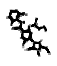 CCC[C@H](C)Oc1cc(-n2nc(CC)n(C)c2=O)c(F)cc1C(=O)Nc1c(F)cccc1F